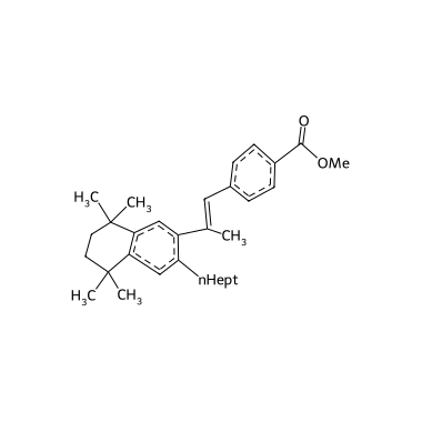 CCCCCCCc1cc2c(cc1/C(C)=C/c1ccc(C(=O)OC)cc1)C(C)(C)CCC2(C)C